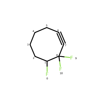 FC1CCCCC#CC1(F)F